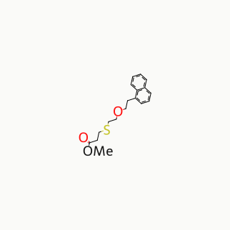 COC(=O)CCSCCOCCc1cccc2ccccc12